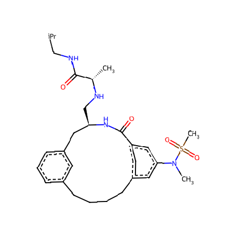 CC(C)CNC(=O)[C@H](C)NC[C@@H]1Cc2cccc(c2)CCCCc2cc(cc(N(C)S(C)(=O)=O)c2)C(=O)N1